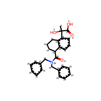 CC(O)(C(=O)O)c1cccc2c1CCCC2C(=O)N(Cc1ccccc1)Cc1ccccc1